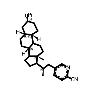 CCC[C@H]1CC[C@@H]2C3CC[C@@]4(C)C(CCC4[C@H](C)Cc4ccc(C#N)nc4)[C@@H]3CC[C@@H]2C1